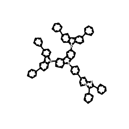 c1ccc(-c2ccc3c(c2)c2cc(-c4ccccc4)ccc2n3-c2ccc3c(c2)c2cc(-n4c5ccc(-c6ccccc6)cc5c5cc(-c6ccccc6)ccc54)ccc2n3-c2ccc(-c3ccn4c(-c5ccccc5)c(-c5ccccc5)nc4c3)cc2)cc1